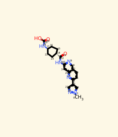 Cn1cc(-c2ccc3cnc(NC(=O)[C@H]4CC[C@H](NC(=O)O)CC4)cc3n2)cn1